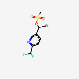 CC[C@H](OS(C)(=O)=O)c1ccc(C(F)F)nc1